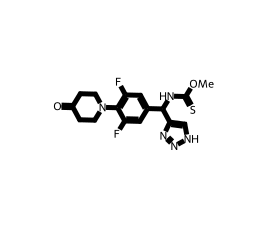 COC(=S)NC(c1cc(F)c(N2CCC(=O)CC2)c(F)c1)c1c[nH]nn1